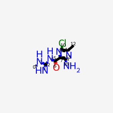 CNC(=N)NC(=O)c1nc(Cl)c(C)nc1N